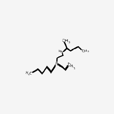 CCCCCN(CC)C[CH]NC(C)CCC